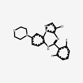 Fc1cccc(F)c1C1=Nc2c(Cl)cnn2-c2cc(N3CCOCC3)ccc2N1